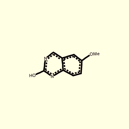 COc1ccc2nc(O)ncc2c1